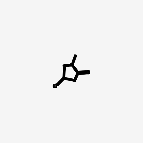 CN1[CH]C(Cl)CC1=O